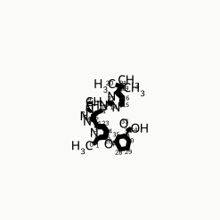 CCc1nc(-c2nnn(C)c2CNc2nccc(C(C)(C)C)n2)ccc1O[C@H]1CCC[C@H](C(=O)O)C1